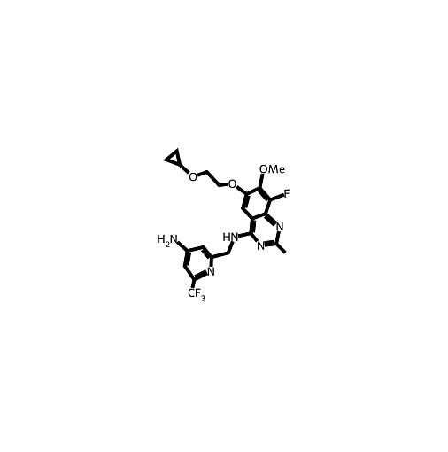 COc1c(OCCOC2CC2)cc2c(NCc3cc(N)cc(C(F)(F)F)n3)nc(C)nc2c1F